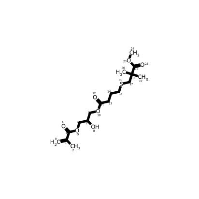 C=C(C)C(=O)OCC(O)COC(=O)CCCSCC(C)(C)C(=O)OC